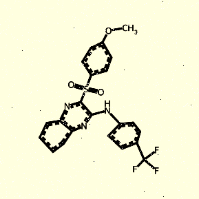 COc1ccc(S(=O)(=O)c2nc3ccccc3nc2Nc2ccc(C(F)(F)F)cc2)cc1